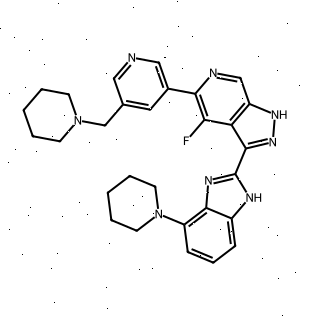 Fc1c(-c2cncc(CN3CCCCC3)c2)ncc2[nH]nc(-c3nc4c(N5CCCCC5)cccc4[nH]3)c12